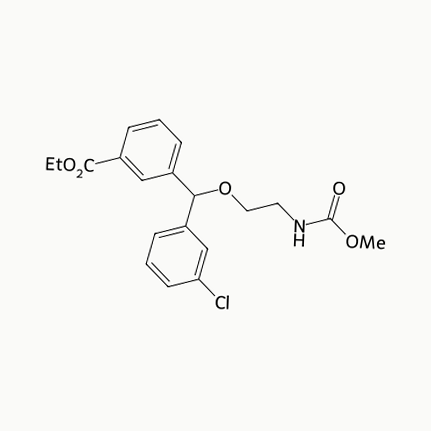 CCOC(=O)c1cccc(C(OCCNC(=O)OC)c2cccc(Cl)c2)c1